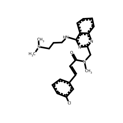 CN(C)CCCNc1nc(CN(C)C(=O)/C=C/c2cccc(Cl)c2)nc2ccccc12